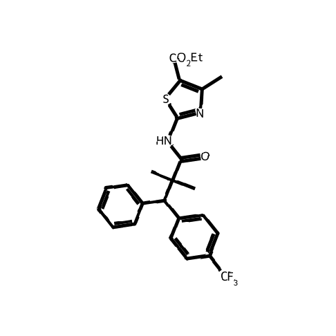 CCOC(=O)c1sc(NC(=O)C(C)(C)C(c2ccccc2)c2ccc(C(F)(F)F)cc2)nc1C